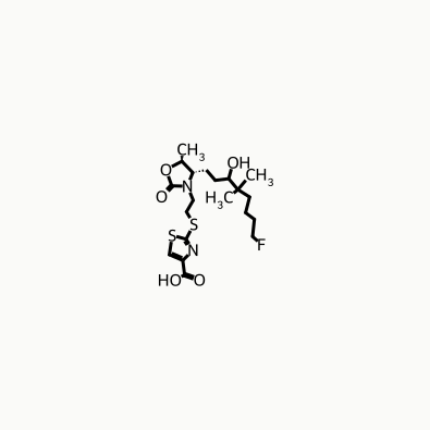 C[C@@H]1OC(=O)N(CCSc2nc(C(=O)O)cs2)[C@H]1CCC(O)C(C)(C)CCCCF